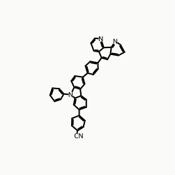 N#Cc1ccc(-c2ccc3c4cc(-c5ccc(-c6cc7cccnc7c7ncccc67)cc5)ccc4n(-c4ccccc4)c3c2)cc1